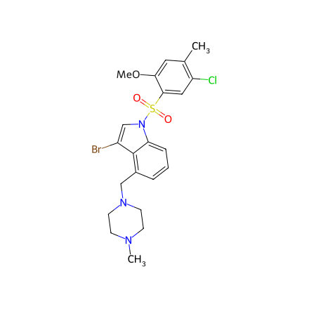 COc1cc(C)c(Cl)cc1S(=O)(=O)n1cc(Br)c2c(CN3CCN(C)CC3)cccc21